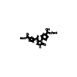 CCCCCC(O)c1ccc(N2C(=O)NCC2C(C)c2ccc(C(=O)OC)s2)cc1